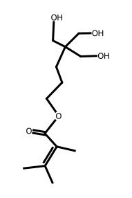 CC(C)=C(C)C(=O)OCCCC(CO)(CO)CO